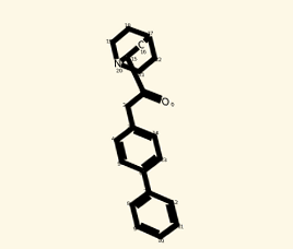 O=C(Cc1ccc(-c2ccccc2)cc1)C1CC2CCN1CC2